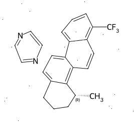 C[C@@H]1CCCc2ccc3c(ccc4c(C(F)(F)F)cccc43)c21.c1cnccn1